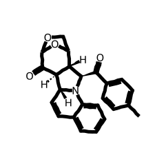 Cc1ccc(C(=O)[C@@H]2[C@H]3C4COC(O4)C(=O)[C@@H]3[C@H]3C=Cc4ccccc4N32)cc1